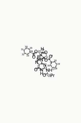 CC(C)C(=O)Nc1nc2c(nnn2[C@@]2(OC(=O)c3ccccc3)CO[C@@H]3C(OC(=O)c4ccccc4)[C@@]32F)c(=O)[nH]1